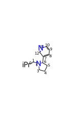 CC(C)CN1CCCC1c1cccnc1